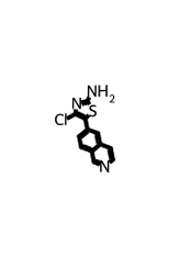 Nc1nc(Cl)c(-c2ccc3cnccc3c2)s1